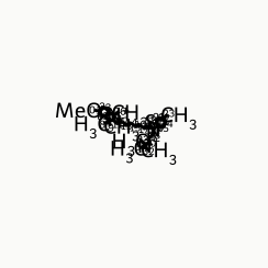 COc1ccc2c(c1)C(C)(C)C(/C=C/C=C/C=C/C=C1\Sc3cc(C)ccc3N1CCC[N+](C)(C)C)=[N+]2C